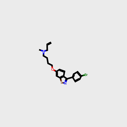 C=CCN(C)CCCCOc1ccc2c(-c3ccc(Br)cc3)nsc2c1